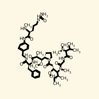 CC[C@H](C)C([C@@H](CC(=O)N1CCC[C@H]1[C@H](OC)[C@@H](C)C(=O)N[C@@H](Cc1ccccc1)C(=O)NCc1ccc(NC(=O)[C@H](CCCNC(N)=O)NC)cc1)OC)N(C)C(=O)CNC(=O)C(C(C)C)N(C)C